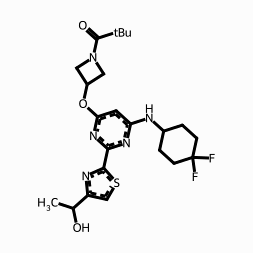 CC(O)c1csc(-c2nc(NC3CCC(F)(F)CC3)cc(OC3CN(C(=O)C(C)(C)C)C3)n2)n1